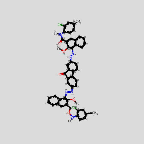 CCOc1c(CON(CC)c2ccc(C)cc2Cl)cc2ccccc2c1N=Nc1ccc2c(c1)C(=O)c1cc(N=Nc3c(OCC)c(C(=O)N(CC)c4ccc(C)cc4Cl)cc4ccccc34)ccc1-2